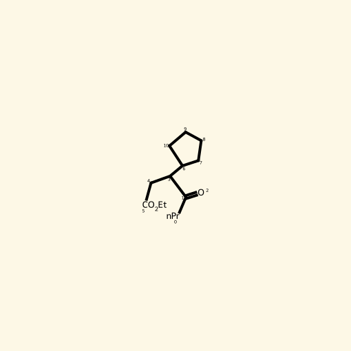 CCCC(=O)C(CC(=O)OCC)C1CCCC1